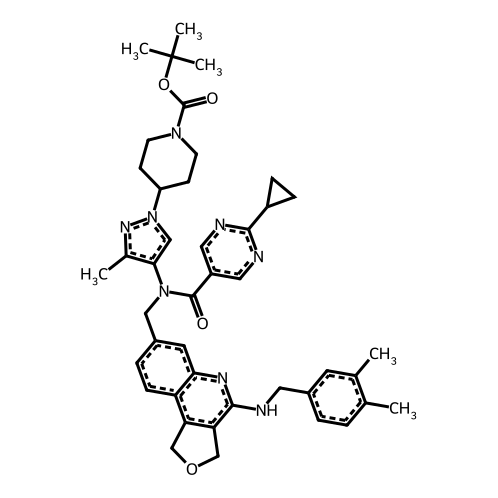 Cc1ccc(CNc2nc3cc(CN(C(=O)c4cnc(C5CC5)nc4)c4cn(C5CCN(C(=O)OC(C)(C)C)CC5)nc4C)ccc3c3c2COC3)cc1C